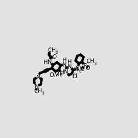 C=CC(=O)NC1CC(NC2NCC(Cl)C(NC3CCCCC3P(C)(C)=O)N2)C(OC)CC1C#CCN1CCN(C)CC1